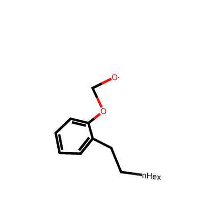 CCCCCCCCc1ccccc1OC[O]